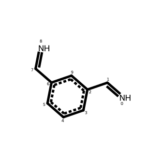 N=Cc1cccc(C=N)c1